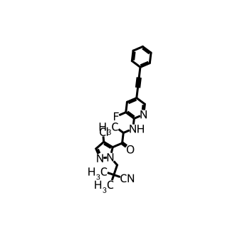 CC(Nc1ncc(C#Cc2ccccc2)cc1F)C(=O)c1c(Cl)cnn1CC(C)(C)C#N